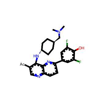 CC(=O)c1cnc2ccc(-c3cc(F)c(O)c(F)c3)nc2c1N[C@H]1CC[C@H](CN(C)C)CC1